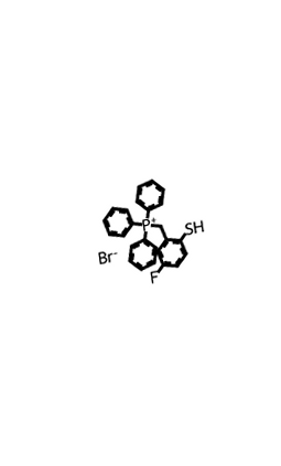 Fc1ccc(S)c(C[P+](c2ccccc2)(c2ccccc2)c2ccccc2)c1.[Br-]